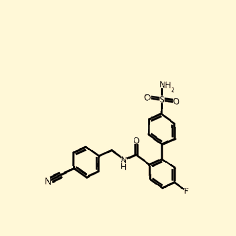 N#Cc1ccc(CNC(=O)c2ccc(F)cc2-c2ccc(S(N)(=O)=O)cc2)cc1